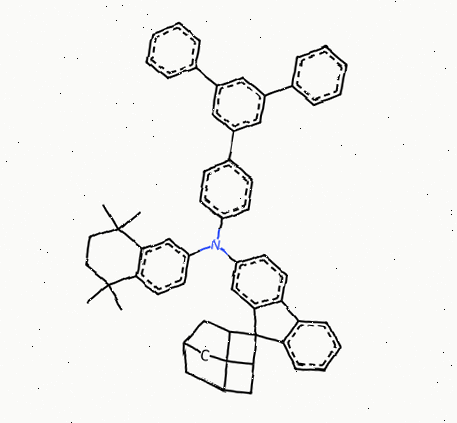 CC1(C)CCC(C)(C)c2cc(N(c3ccc(-c4cc(-c5ccccc5)cc(-c5ccccc5)c4)cc3)c3ccc4c(c3)C3(c5ccccc5-4)C4CC5CC6CC3C64C5)ccc21